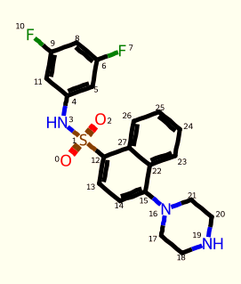 O=S(=O)(Nc1cc(F)cc(F)c1)c1ccc(N2CCNCC2)c2ccccc12